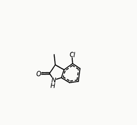 CC1C(=O)Nc2cccc(Cl)c21